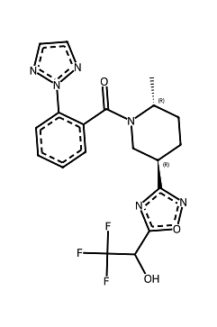 C[C@@H]1CC[C@@H](c2noc(C(O)C(F)(F)F)n2)CN1C(=O)c1ccccc1-n1nccn1